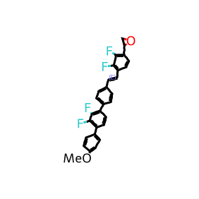 COc1ccc(-c2ccc(-c3ccc(/C=C/c4ccc(C5CO5)c(F)c4F)cc3)c(F)c2F)cc1